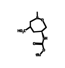 CN1CC(C(=O)O)C[C@H](NC(=O)OC(C)(C)C)CO1